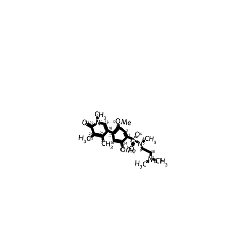 COc1cc(S(=O)(=O)N(C)CCN(C)C)c(OC)cc1-c1cn(C)c(=O)c(C)c1C